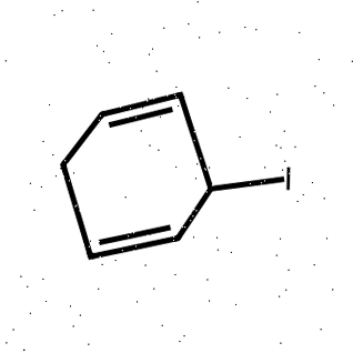 IC1C=CCC=C1